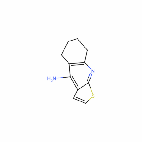 Nc1c2c(nc3sccc13)CCCC2